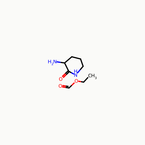 CCOC=O.NC1CCCNC1=O